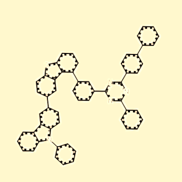 c1ccc(-c2ccc(-c3nc(-c4ccccc4)nc(-c4cccc(-c5cccc6sc7ccc(-c8ccc9c(c8)c8ccccc8n9-c8ccccc8)cc7c56)c4)n3)cc2)cc1